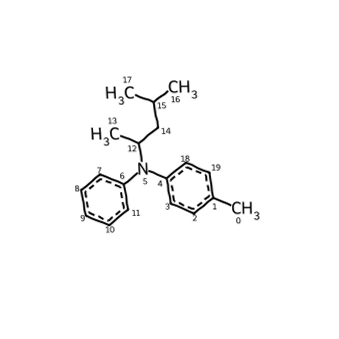 Cc1ccc(N(c2ccccc2)C(C)CC(C)C)cc1